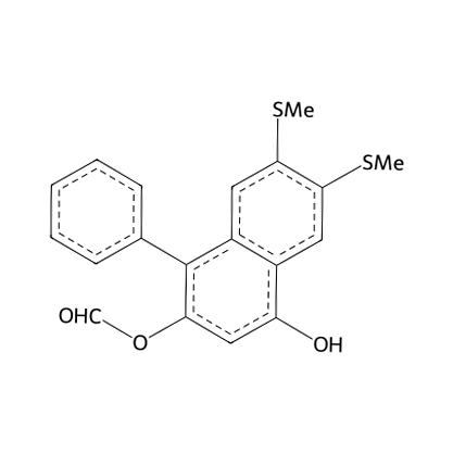 CSc1cc2c(O)cc(OC=O)c(-c3ccccc3)c2cc1SC